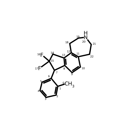 Cc1ccccc1C1c2ccc3c(c2CC1(F)F)CCNCC3